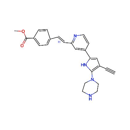 C#Cc1cc(-c2ccnc(/C=C/c3ccc(C(=O)OC)cc3)c2)[nH]c1N1CCNCC1